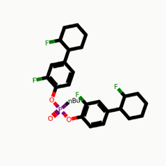 CCCCP(=O)(Oc1ccc(C2CCCCC2F)cc1F)Oc1ccc(C2CCCCC2F)cc1F